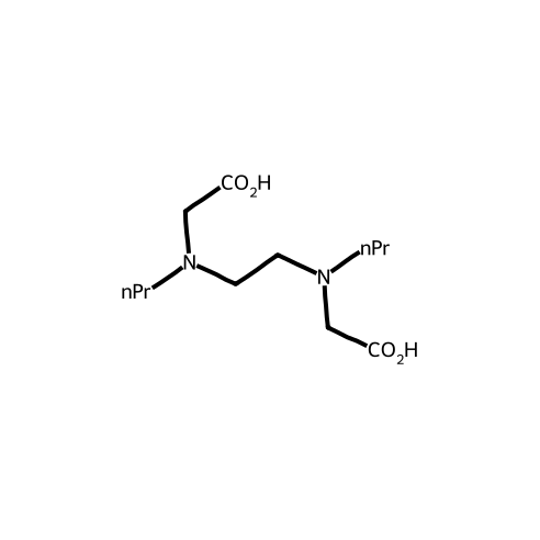 CCCN(CCN(CCC)CC(=O)O)CC(=O)O